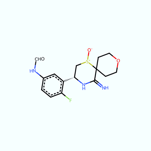 N=C1N[C@H](c2cc(NC=O)ccc2F)C[S+]([O-])C12CCOCC2